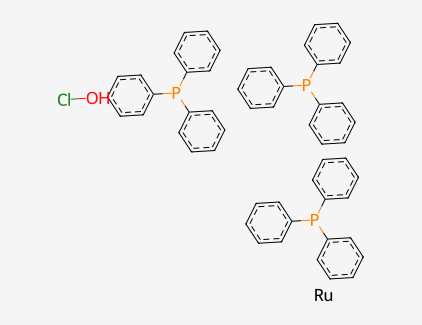 OCl.[Ru].c1ccc(P(c2ccccc2)c2ccccc2)cc1.c1ccc(P(c2ccccc2)c2ccccc2)cc1.c1ccc(P(c2ccccc2)c2ccccc2)cc1